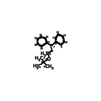 CC(C)(C)O[SiH2]CP(c1ccccc1)c1ccccc1